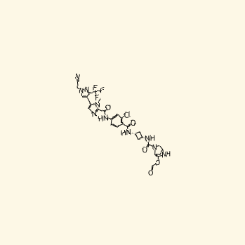 Cn1c(-c2cn(CC#N)nc2C(F)(F)F)cnc1C(=O)Nc1ccc(C(=O)N[C@H]2C[C@@H](NC(=O)N3CC4CC3C(OC=O)N4)C2)c(Cl)c1